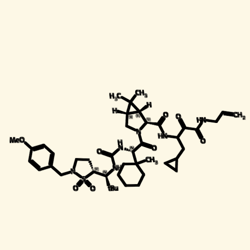 C=CCNC(=O)C(=O)C(CC1CC1)NC(=O)[C@@H]1[C@@H]2[C@H](CN1C(=O)[C@@H](NC(=O)N[C@H]([C@H]1CCN(Cc3ccc(OC)cc3)S1(=O)=O)C(C)(C)C)C1(C)CCCCC1)C2(C)C